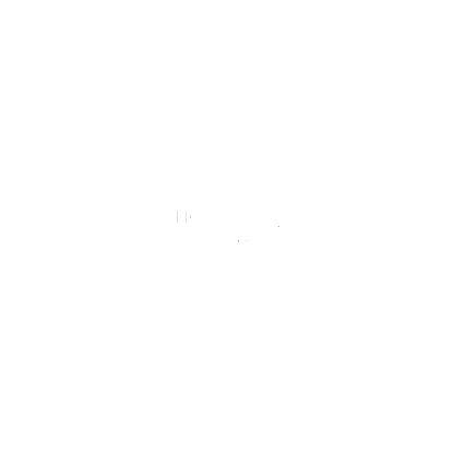 [O-2].[OH-].[OH-].[Ti+4]